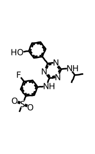 CC(C)Nc1nc(Nc2cc(F)cc(S(C)(=O)=O)c2)nc(-c2cccc(O)c2)n1